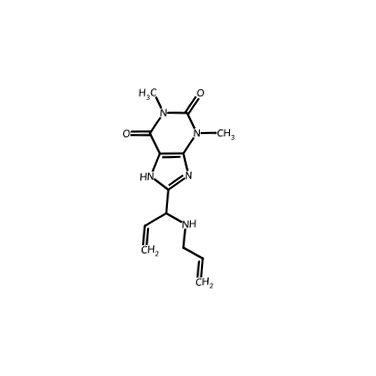 C=CCNC(C=C)c1nc2c([nH]1)c(=O)n(C)c(=O)n2C